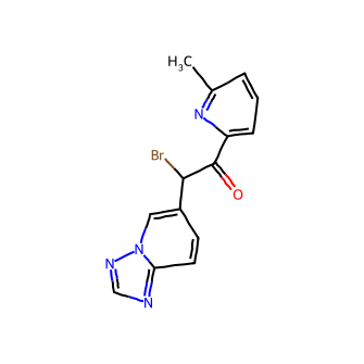 Cc1cccc(C(=O)C(Br)c2ccc3ncnn3c2)n1